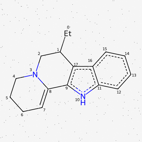 CCC1CN2CCCC=C2c2[nH]c3ccccc3c21